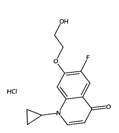 Cl.O=c1ccn(C2CC2)c2cc(OCCO)c(F)cc12